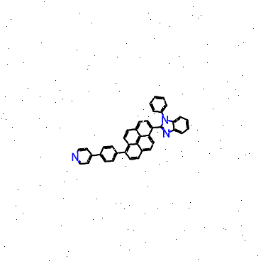 c1ccc(-n2c(-c3ccc4ccc5c(-c6ccc(-c7ccncc7)cc6)ccc6ccc3c4c65)nc3ccccc32)cc1